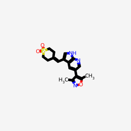 Cc1noc(C)c1-c1cnc2[nH]cc(C=C3CCS(=O)(=O)CC3)c2c1